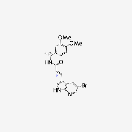 COc1ccc([C@@H](C)NC(=O)/C=C/c2c[nH]c3ncc(Br)cc23)cc1OC